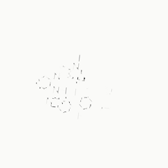 CC(=O)N[C@@H]1[C@H](N)CN(c2ccncc2Nc2ncc3ccc(-c4c(F)cc(C5(O)CCOCC5)cc4F)nn23)C[C@@H]1C